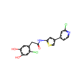 O=C(Cc1cc(O)c(O)cc1Cl)Nc1cc(-c2ccnc(Cl)c2)cs1